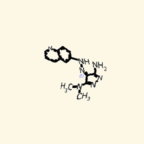 CN(C)C1=NN=C(N)/C1=N\Nc1ccc2ncccc2c1